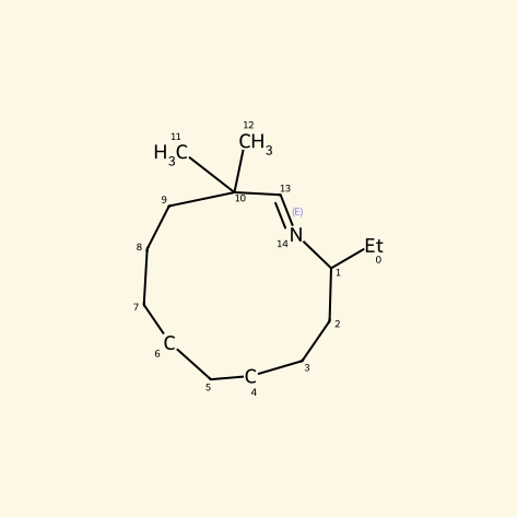 CCC1CCCCCCCCC(C)(C)/C=N/1